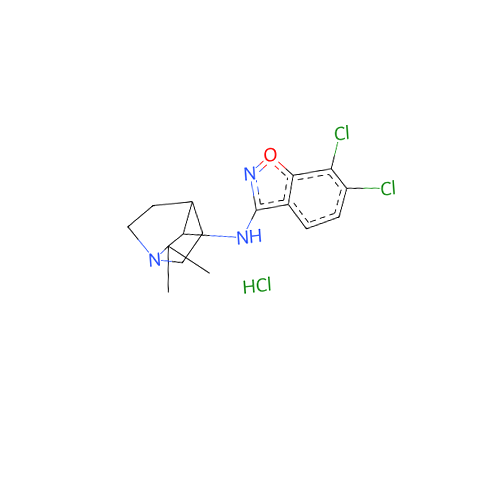 CC1(C)C(Nc2noc3c(Cl)c(Cl)ccc23)C2CCN1CC2.Cl